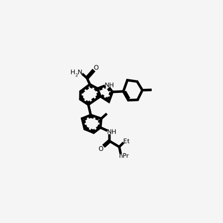 CCCC(CC)C(=O)Nc1cccc(-c2ccc(C(N)=O)c3[nH]c(C4=CCC(C)CC4)cc23)c1C